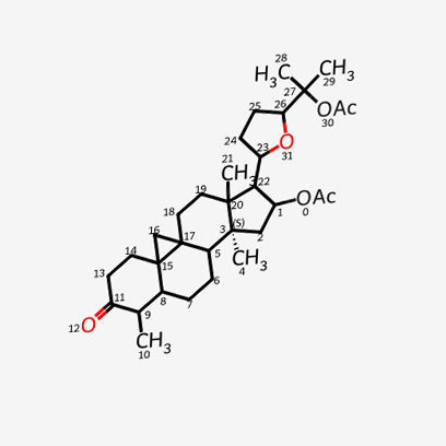 CC(=O)OC1C[C@@]2(C)C3CCC4C(C)C(=O)CCC45CC35CCC2(C)C1C1CCC(C(C)(C)OC(C)=O)O1